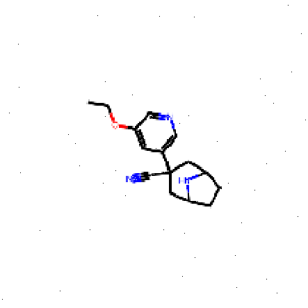 CCOc1cncc(C2(C#N)CC3CCC(C2)N3)c1